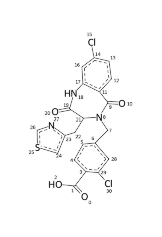 O=C(O)c1ccc(CN2C(=O)c3ccc(Cl)cc3NC(=O)C2Cc2cscn2)cc1Cl